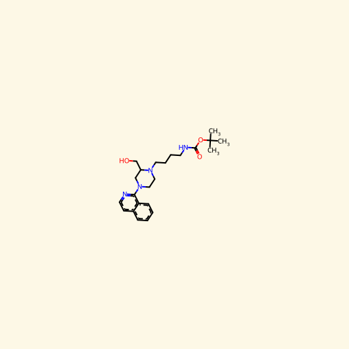 CC(C)(C)OC(=O)NCCCCN1CCN(c2nccc3ccccc23)CC1CO